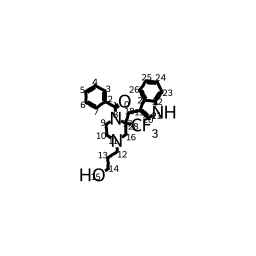 O=C(c1ccccc1)N1CCN(CCCO)CC1(Cc1c[nH]c2ccccc12)C(F)(F)F